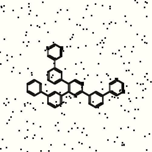 c1ccc(-c2cccc(-c3nc(-c4cccc(-c5cncnc5)c4)ncc3-c3cccc(-c4cncnc4)c3)c2)cc1